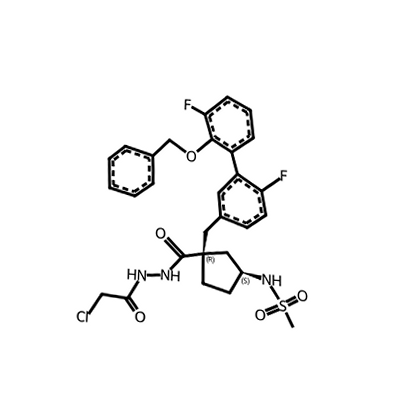 CS(=O)(=O)N[C@H]1CC[C@](Cc2ccc(F)c(-c3cccc(F)c3OCc3ccccc3)c2)(C(=O)NNC(=O)CCl)C1